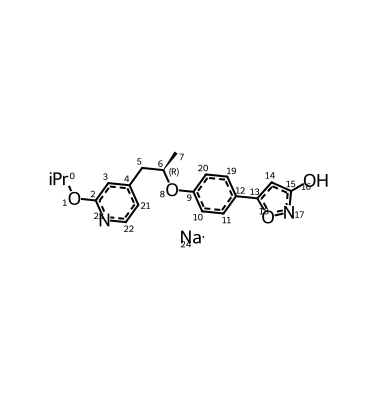 CC(C)Oc1cc(C[C@@H](C)Oc2ccc(-c3cc(O)no3)cc2)ccn1.[Na]